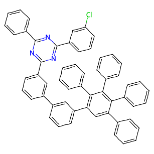 Clc1cccc(-c2nc(-c3ccccc3)nc(-c3cccc(-c4cccc(-c5cc(-c6ccccc6)c(-c6ccccc6)c(-c6ccccc6)c5-c5ccccc5)c4)c3)n2)c1